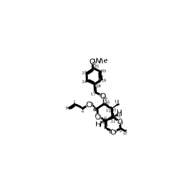 C=CCO[C@@H]1O[C@@H]2COC(C)O[C@H]2[C@H](C)[C@H]1OCc1ccc(OC)cc1